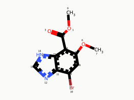 COC(=O)c1c(OC)cc(Br)c2nc[nH]c12